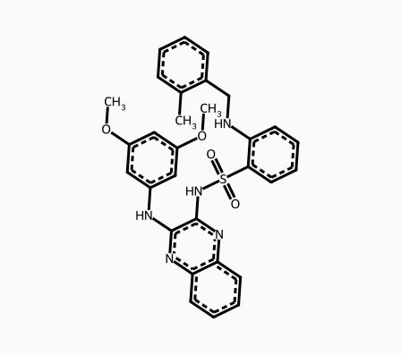 COc1cc(Nc2nc3ccccc3nc2NS(=O)(=O)c2ccccc2NCc2ccccc2C)cc(OC)c1